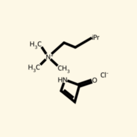 CC(C)CC[N+](C)(C)C.O=C1C=CN1.[Cl-]